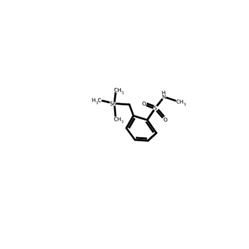 CNS(=O)(=O)c1ccccc1[CH2][Sn]([CH3])([CH3])[CH3]